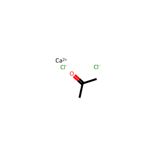 CC(C)=O.[Ca+2].[Cl-].[Cl-]